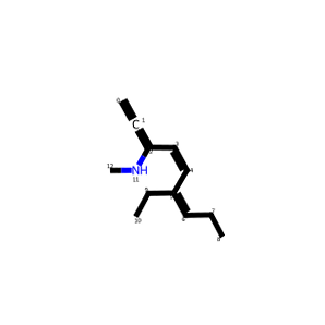 C=C=C(/C=C\C(=C/CC)CC)NC